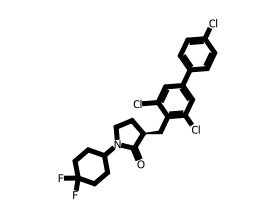 O=C1[C@H](Cc2c(Cl)cc(-c3ccc(Cl)cc3)cc2Cl)CCN1C1CCC(F)(F)CC1